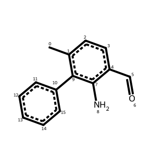 Cc1ccc(C=O)c(N)c1-c1ccccc1